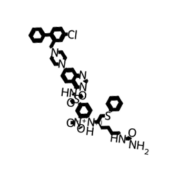 NC(=O)NCCCC[C@H](CSc1ccccc1)Nc1ccc(S(=O)(=O)Nc2ncnc3cc(N4CCN(Cc5cc(Cl)ccc5-c5ccccc5)CC4)ccc23)cc1[N+](=O)[O-]